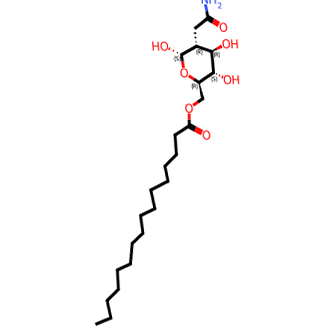 CCCCCCCCCCCCCCCC(=O)OC[C@H]1O[C@H](O)[C@H](CC(N)=O)[C@@H](O)[C@@H]1O